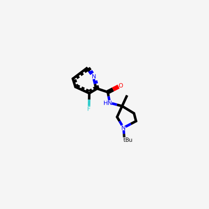 CC1(NC(=O)c2ncccc2F)CCN(C(C)(C)C)C1